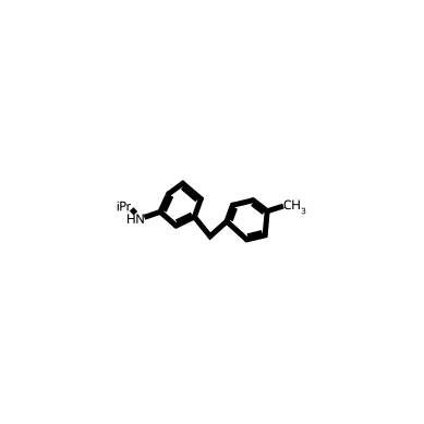 Cc1ccc(Cc2cccc(NC(C)C)c2)cc1